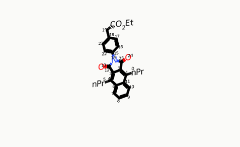 CCCc1c2c(c(CCC)c3ccccc13)C(=O)N(c1ccc(CC(=O)OCC)cc1)C2=O